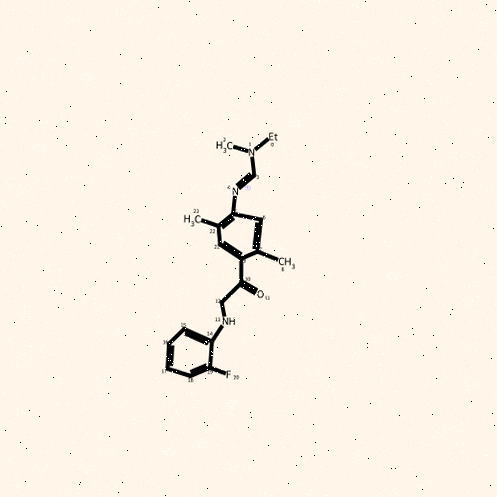 CCN(C)/C=N/c1cc(C)c(C(=O)CNc2ccccc2F)cc1C